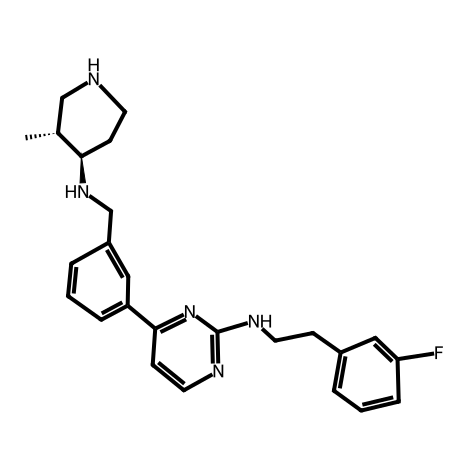 C[C@@H]1CNCC[C@H]1NCc1cccc(-c2ccnc(NCCc3cccc(F)c3)n2)c1